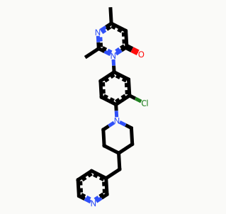 Cc1cc(=O)n(-c2ccc(N3CCC(Cc4cccnc4)CC3)c(Cl)c2)c(C)n1